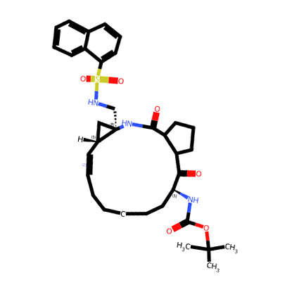 CC(C)(C)OC(=O)N[C@H]1CCCCC/C=C\[C@@H]2C[C@@]2(CNS(=O)(=O)c2cccc3ccccc23)NC(=O)C2CCCC2C1=O